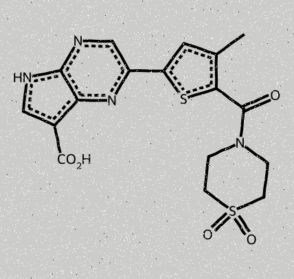 Cc1cc(-c2cnc3[nH]cc(C(=O)O)c3n2)sc1C(=O)N1CCS(=O)(=O)CC1